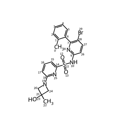 Cc1ccccc1-c1nc(NS(=O)(=O)c2cccc(N3CC(C)(O)C3)n2)ccc1Br